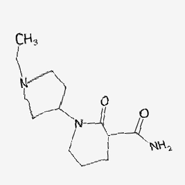 CCN1CCC(N2CCCC(C(N)=O)C2=O)CC1